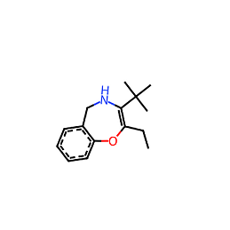 CCC1=C(C(C)(C)C)NCc2ccccc2O1